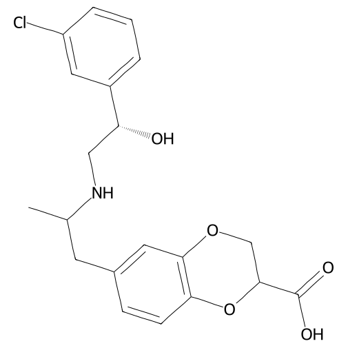 CC(Cc1ccc2c(c1)OCC(C(=O)O)O2)NC[C@@H](O)c1cccc(Cl)c1